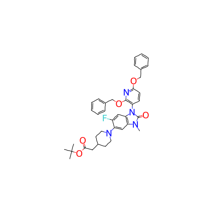 Cn1c(=O)n(-c2ccc(OCc3ccccc3)nc2OCc2ccccc2)c2cc(F)c(N3CCC(CC(=O)OC(C)(C)C)CC3)cc21